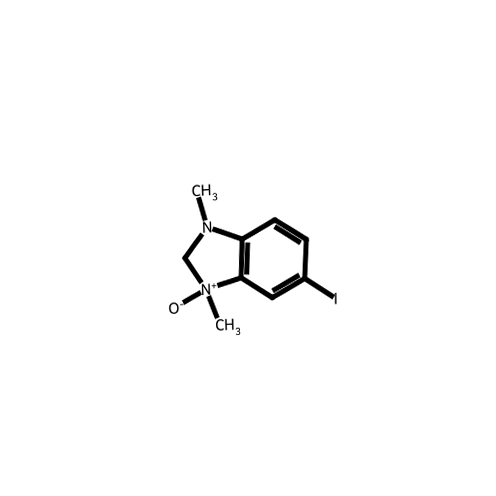 CN1C[N+](C)([O-])c2cc(I)ccc21